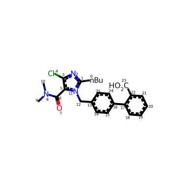 CCCCc1nc(Cl)c(C(=O)N(C)C)n1Cc1ccc(-c2ccccc2C(=O)O)cc1